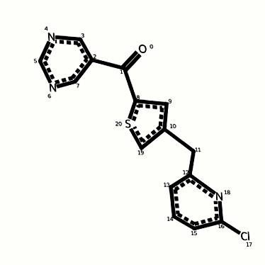 O=C(c1cncnc1)c1cc(Cc2cccc(Cl)n2)cs1